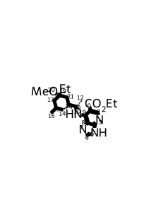 CCOC(=O)c1cnc2[nH]cnc2c1N[C@@H](C)[C@@H]1CC(C)C[C@@](CC)(OC)C1